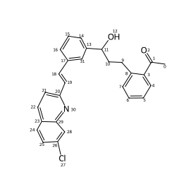 CC(=O)c1ccccc1CCC(O)c1cccc(/C=C/c2ccc3ccc(Cl)cc3n2)c1